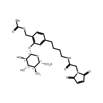 C[C@H]1[C@H](O)[C@@H](O)[C@H](Oc2cc(CCCCNC(=O)CN3C(=O)C=CC3=O)ccc2COC(=O)C(C)(C)C)O[C@@H]1C(=O)O